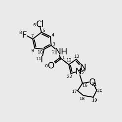 O=C(Nc1cc(Cl)c(F)cc1I)c1cnn(C2CCCCO2)c1